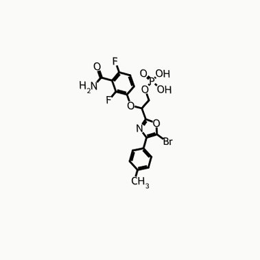 Cc1ccc(-c2nc(C(COP(=O)(O)O)Oc3ccc(F)c(C(N)=O)c3F)oc2Br)cc1